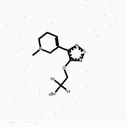 [2H]C([2H])(CCCC)COc1nsnc1C1=CCCN(C)C1